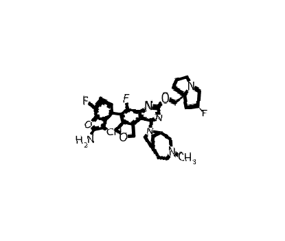 CN1CCC2CC(C1)N(c1nc(OC[C@@]34CCCN3C[C@H](F)C4)nc3c(F)c(-c4ccc(F)c5oc(N)c(C#N)c45)c4c(c13)COC4)C2